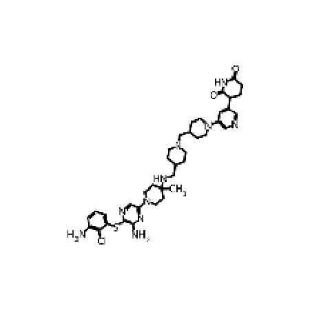 CC1(NCC2CCN(CC3CCN(c4cncc(C5CCC(=O)NC5=O)c4)CC3)CC2)CCN(c2cnc(Sc3cccc(N)c3Cl)c(N)n2)CC1